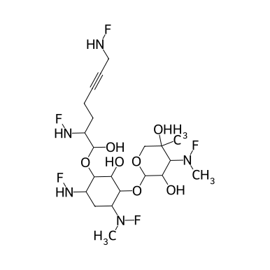 CN(F)C1CC(NF)C(OC(O)C(CCC#CCNF)NF)C(O)C1OC1OCC(C)(O)C(N(C)F)C1O